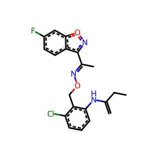 C=C(CC)Nc1cccc(Cl)c1CON=C(C)c1noc2cc(F)ccc12